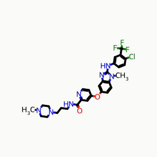 CN1CCN(CCCNC(=O)c2cc(Oc3ccc4c(c3)nc(Nc3ccc(Cl)c(C(F)(F)F)c3)n4C)ccn2)CC1